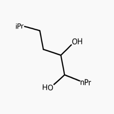 CCCC(O)C(O)CCC(C)C